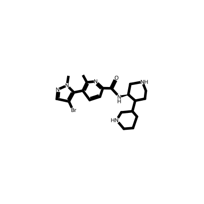 Cc1nc(C(=O)N[C@H]2CNCCC2C2CCCNC2)ccc1-c1c(Br)cnn1C